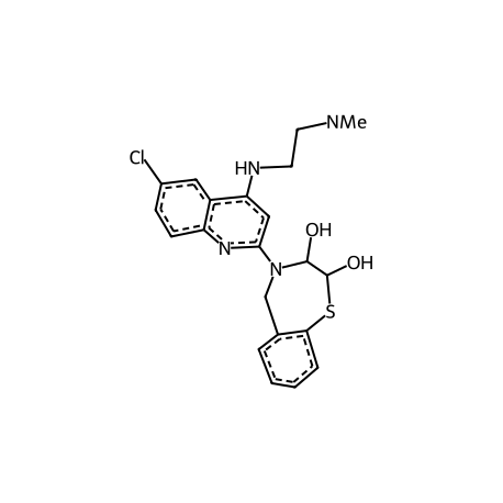 CNCCNc1cc(N2Cc3ccccc3SC(O)C2O)nc2ccc(Cl)cc12